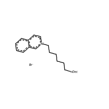 CCCCCCCCCCCCCCCC[n+]1ccc2ccccc2c1.[Br-]